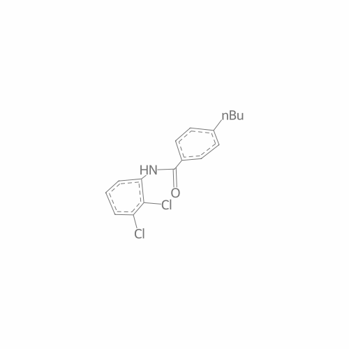 CCCCc1ccc(C(=O)Nc2cccc(Cl)c2Cl)cc1